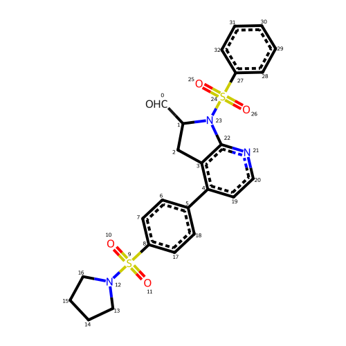 O=CC1Cc2c(-c3ccc(S(=O)(=O)N4CCCC4)cc3)ccnc2N1S(=O)(=O)c1ccccc1